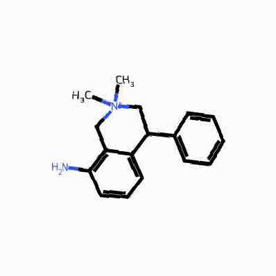 C[N+]1(C)Cc2c(N)cccc2C(c2ccccc2)C1